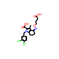 Cc1c2c(n(Cc3ccc(Cl)c(Cl)c3)c1C(=O)O)CCC/C2=N/OCCCC(=O)O